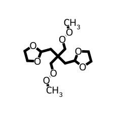 COOCC(COOC)(CC1OCCO1)CC1OCCO1